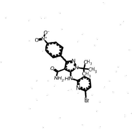 CC(C)(C)n1nc(-c2ccc([N+](=O)[O-])cc2)c(C(N)=O)c1Nc1cccc(Br)n1